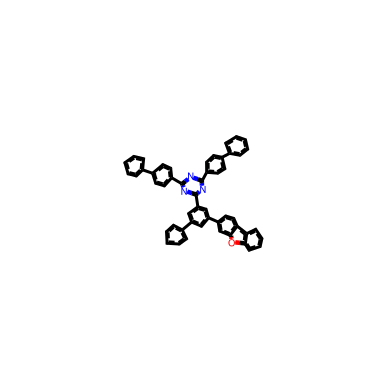 c1ccc(-c2ccc(-c3nc(-c4ccc(-c5ccccc5)cc4)nc(-c4cc(-c5ccccc5)cc(-c5ccc6c(c5)oc5ccccc56)c4)n3)cc2)cc1